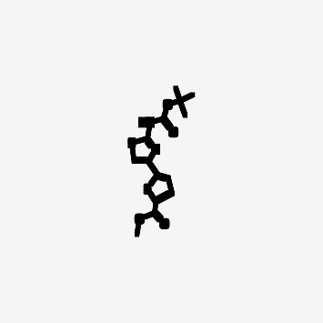 COC(=O)c1ccc(-c2csc(NC(=O)OC(C)(C)C)n2)s1